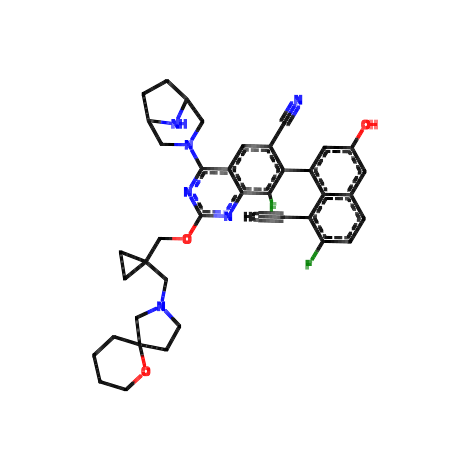 C#Cc1c(F)ccc2cc(O)cc(-c3c(C#N)cc4c(N5CC6CCC(C5)N6)nc(OCC5(CN6CCC7(CCCCO7)C6)CC5)nc4c3F)c12